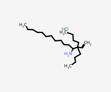 C=CC(CCCC)(CCCC)C(N)CCCCCCCCCCC.Cl